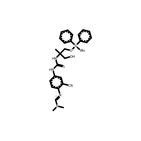 CN(C)/C=N/c1ccc(NC(=S)NC(C)(CO)CO[Si](c2ccccc2)(c2ccccc2)C(C)(C)C)cc1C#N